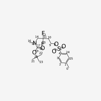 Cc1ccc(S(=O)(=O)OCCC(F)(F)CN(C)C(=O)OC(C)(C)C)cc1